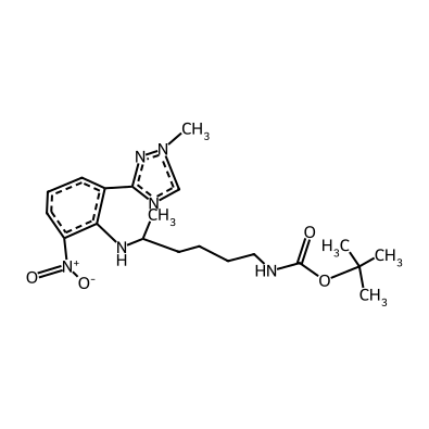 CC(CCCCNC(=O)OC(C)(C)C)Nc1c(-c2ncn(C)n2)cccc1[N+](=O)[O-]